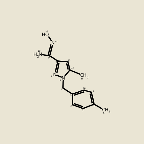 Cc1ccc(Cn2nc(/C(N)=N/O)cc2C)cc1